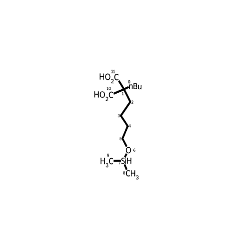 CCCCC(CCCCO[SiH](C)C)(C(=O)O)C(=O)O